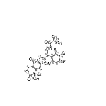 CC[C@@]1(O)C(=O)OCc2c1cc1n(c2=O)Cc2c-1nc1cc(F)c(Cl)c(F)c1c2CNC(=O)C(C)O